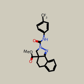 COC(=O)C12CCc3ccccc3C1=NN(C(=O)Nc1ccc(C(F)(F)F)cc1)C2